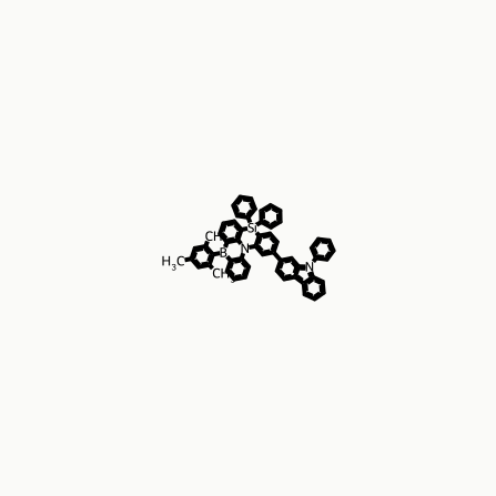 Cc1cc(C)c(B2c3ccccc3N3c4cc(-c5ccc6c7ccccc7n(-c7ccccc7)c6c5)ccc4[Si](c4ccccc4)(c4ccccc4)c4cccc2c43)c(C)c1